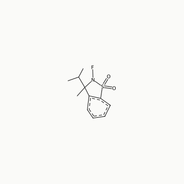 CC(C)C1(C)c2ccccc2S(=O)(=O)N1F